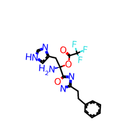 N[C@@](Cc1c[nH]cn1)(OC(=O)C(F)(F)F)c1nc(CCc2ccccc2)no1